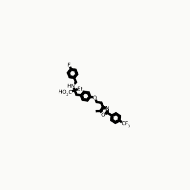 CCC(Cc1ccc(OCCc2nc(-c3ccc(C(F)(F)F)cc3)oc2C)cc1)(NCc1ccc(F)cc1)C(=O)O